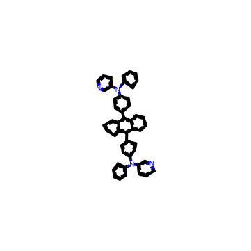 c1ccc(N(c2ccc(-c3c4ccccc4c(-c4ccc(N(c5ccccc5)c5cccnc5)cc4)c4ccccc34)cc2)c2cccnc2)cc1